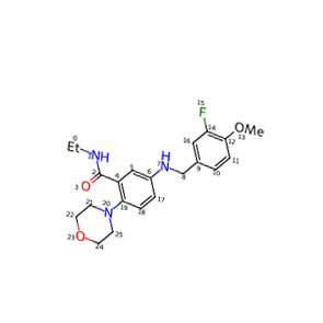 CCNC(=O)c1cc(NCc2ccc(OC)c(F)c2)ccc1N1CCOCC1